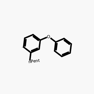 CCCCCc1[c]ccc(Oc2ccccc2)c1